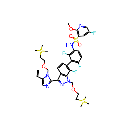 C=Cc1cnc(-c2nn(COCCS(C)(C)C)c3c(F)c(-c4c(F)ccc(NS(=O)(=O)c5cc(F)cnc5OC)c4F)ccc23)n1COCCS(C)(C)C